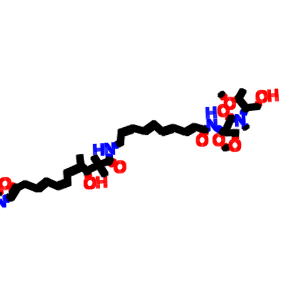 COC(C)C(CO)N(C)C(=O)C1(NC(=O)/C=C/C=C/C=C/C=C\CNC(=O)C(C)(C)C(O)\C(C)=C/C=C\C=C\Cc2cnc(C)o2)COCO1